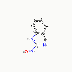 O=Nc1ncc2ccccc2n1